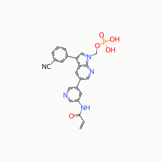 C=CC(=O)Nc1cncc(-c2cnc3c(c2)c(-c2cccc(C#N)c2)cn3COP(=O)(O)O)c1